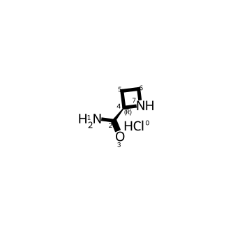 Cl.NC(=O)[C@H]1CCN1